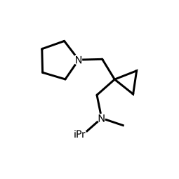 CC(C)N(C)CC1(CN2CCCC2)CC1